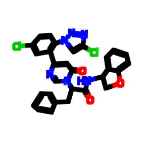 O=C(NC1COc2ccccc21)C(Cc1ccccc1)n1cnc(-c2cc(Cl)ccc2-n2cc(Cl)nn2)cc1=O